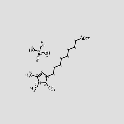 CCCCCCCCCCCCCCCCCCN1C=C(C)N(C)C1C.O=P(O)(O)O